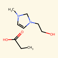 CCC(=O)O.CN1C=CN(CCO)C1